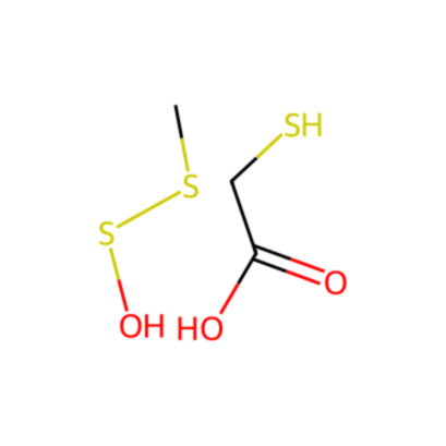 CSSO.O=C(O)CS